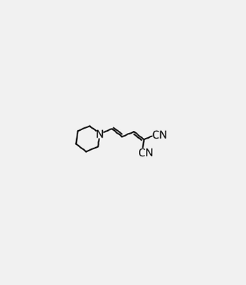 N#CC(C#N)=C/C=C/N1CCCCC1